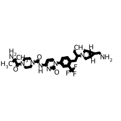 CCC(Cc1ccc(-n2ccc(NC(=O)N3CCN(C(=O)C(C)(C)N)CC3)nc2=O)cc1C(F)(F)F)N1C[C@@H]2C(CN)[C@@H]2C1